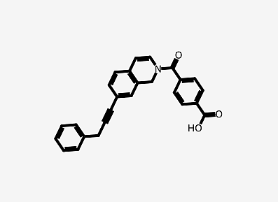 O=C(O)c1ccc(C(=O)N2C=Cc3ccc(C#CCc4ccccc4)cc3C2)cc1